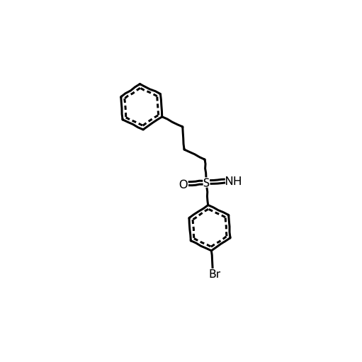 N=S(=O)(CCCc1ccccc1)c1ccc(Br)cc1